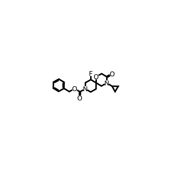 O=C(OCc1ccccc1)N1CCC2(CN(C3CC3)C(=O)CO2)C(F)C1